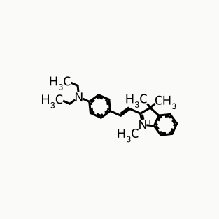 CCN(CC)c1ccc(/C=C/C2=[N+](C)c3ccccc3C2(C)C)cc1